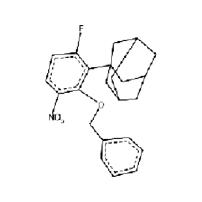 O=[N+]([O-])c1ccc(F)c(C23CC4CC(CC(C4)C2)C3)c1OCc1ccccc1